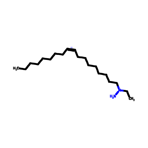 CCCCCCCC/C=C\CCCCCCCCN(N)CC